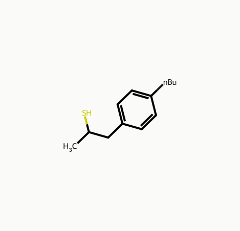 CCCCc1ccc(CC(C)S)cc1